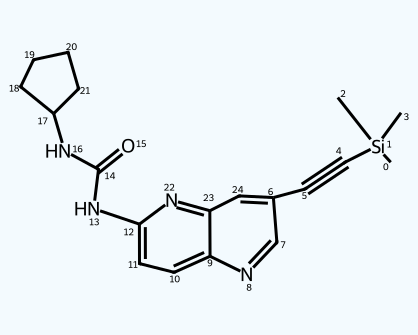 C[Si](C)(C)C#Cc1cnc2ccc(NC(=O)NC3CCCC3)nc2c1